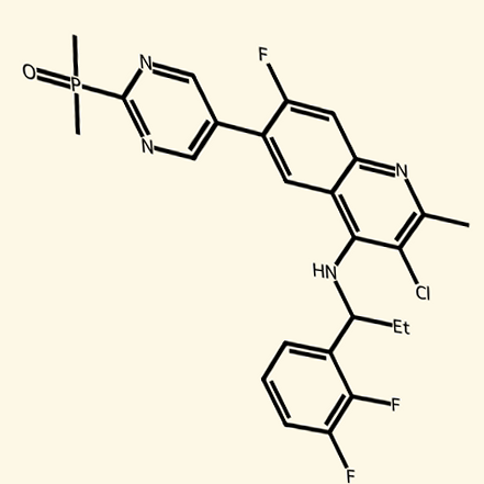 CCC(Nc1c(Cl)c(C)nc2cc(F)c(-c3cnc(P(C)(C)=O)nc3)cc12)c1cccc(F)c1F